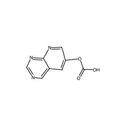 O=C(O)Oc1cnc2ncncc2c1